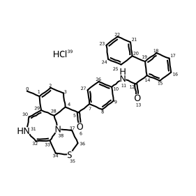 CC1=CCC(C(=O)c2ccc(NC(=O)c3ccccc3-c3ccccc3)cc2)C2C1=CNC=C1CSCCN12.Cl